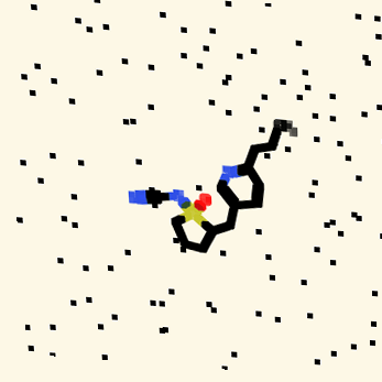 CCCc1ccc(CC2CCCS2(=O)=NC#N)cn1